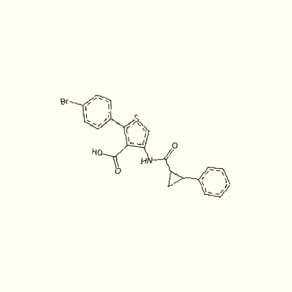 O=C(O)c1c(NC(=O)C2CC2c2ccccc2)csc1-c1ccc(Br)cc1